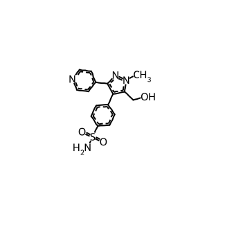 Cn1nc(-c2ccncc2)c(-c2ccc(S(N)(=O)=O)cc2)c1CO